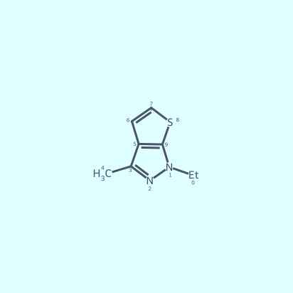 CCn1nc(C)c2c[c]sc21